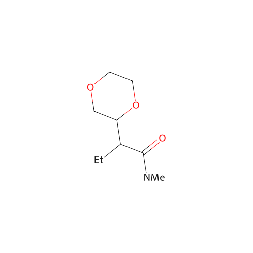 CCC(C(=O)NC)C1COCCO1